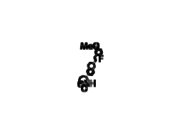 COc1ccc(F)c(/C=C/[C@@H]2CCc3cc([C@H]4CCCOC(=O)NC4)ccc3C2)c1